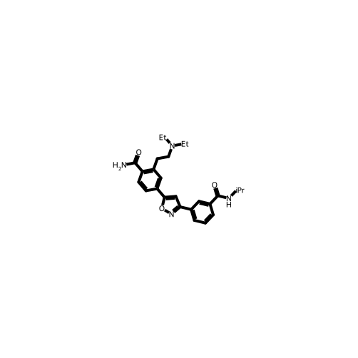 CCN(CC)CCc1cc(-c2cc(-c3cccc(C(=O)NC(C)C)c3)no2)ccc1C(N)=O